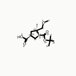 COC[C@]1(C)C[C@H](C(=O)O)CN1C(=O)OC(C)(C)C